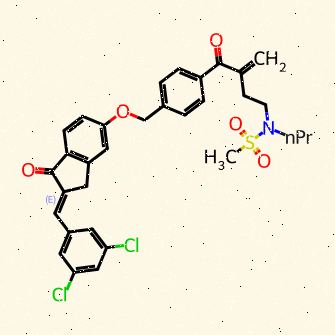 C=C(CCN(CCC)S(C)(=O)=O)C(=O)c1ccc(COc2ccc3c(c2)C/C(=C\c2cc(Cl)cc(Cl)c2)C3=O)cc1